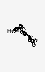 COc1cc2c(ccn2C(=O)CCN2CCC(OC(=O)Nc3ccccc3-c3ccc(O)cc3)CC2)cc1C=O